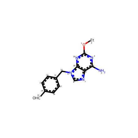 CCOc1nc(N)c2ncn(Cc3ccc(C=O)cc3)c2n1